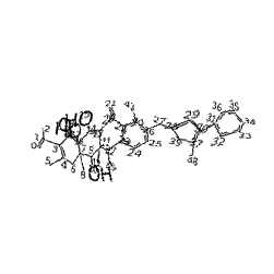 C=C(C)C1=C(C)C[C@@]2(C)[C@H](O)[C@]3(C)C(=C(O)[C@@]2(O)C1=O)C(=C)c1c(ccc(CC2=CC(c4ccccc4)=C(C)C2)c1C)[C@H]3C